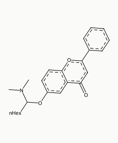 CCCCCCC(Oc1ccc2oc(-c3ccccc3)cc(=O)c2c1)N(C)C